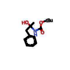 CC(O)(Cc1ccccc1)NC(=O)OC(C)(C)C